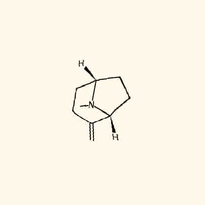 C=C1CC[C@@H]2CC[C@H]1N2C